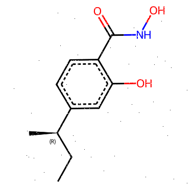 CC[C@@H](C)c1ccc(C(=O)NO)c(O)c1